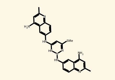 CSC1=NN(Nc2ccc3nc(C)cc(N)c3c2)NC(Nc2ccc3nc(C)cc(N)c3c2)=C1